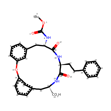 CC(C)(C)OC(=O)N[C@H]1Cc2cccc(c2)Oc2cccc(c2)C[C@@H](C(=O)O)NC(=O)[C@H](CCc2ccccc2)NC1=O